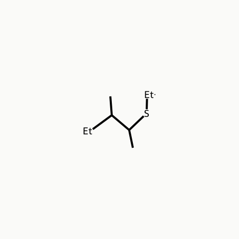 C[CH]SC(C)C(C)CC